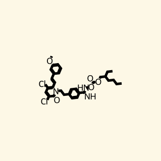 CCCCC(CC)COC(=O)ONC(=N)c1ccc(CCn2c(C=Cc3cccc(OC)c3)c(Cl)cc(Cl)c2=O)cc1